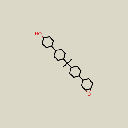 CC(C)(C1CCC(C2CCC(O)CC2)CC1)C1CCC(C2CCC3OC3C2)CC1